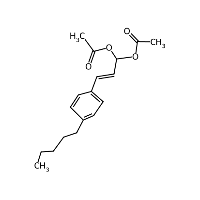 CCCCCc1ccc(C=CC(OC(C)=O)OC(C)=O)cc1